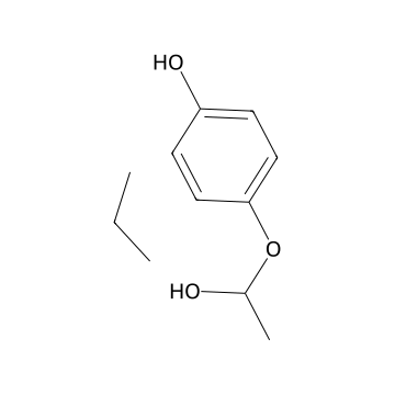 CC(O)Oc1ccc(O)cc1.CCC